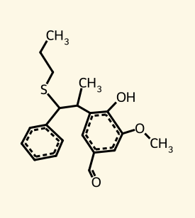 CCCSC(c1ccccc1)C(C)c1cc(C=O)cc(OC)c1O